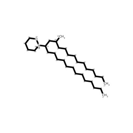 CCCCCCCCCCCCCC(CC(C)CCCCCCCCCCC)[SiH]1CCCCO1